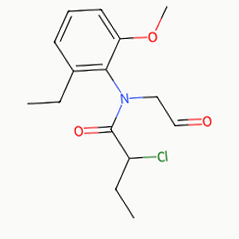 CCc1cccc(OC)c1N(CC=O)C(=O)C(Cl)CC